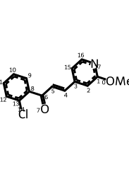 COc1cc(C=CC(=O)c2ccccc2Cl)ccn1